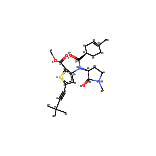 COC(=O)c1sc(C#CC(C)(C)C)cc1N(C(=O)[C@H]1CC=C(C)CC1)[C@H]1CCN(C)C1=O